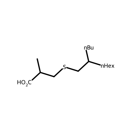 CCCCCCC(CCCC)CSCC(C)C(=O)O